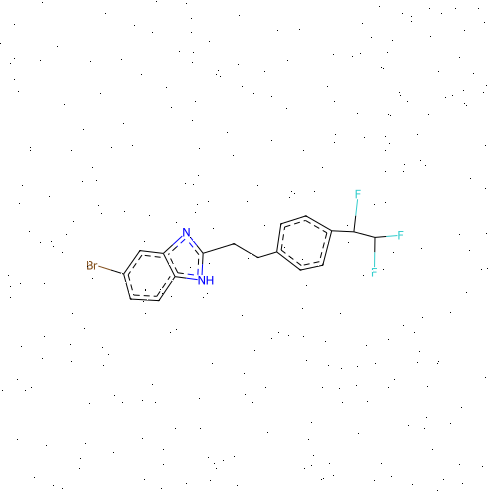 FC(F)C(F)c1ccc(CCc2nc3cc(Br)ccc3[nH]2)cc1